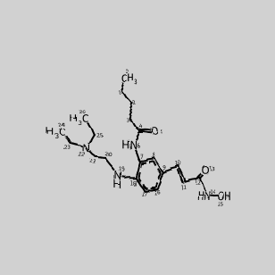 CCCCC(=O)Nc1cc(/C=C/C(=O)NO)ccc1NCCN(CC)CC